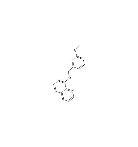 COc1cccc(COc2cccc3cccnc23)c1